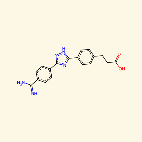 N=C(N)c1ccc(-c2n[nH]c(-c3ccc(CCC(=O)O)cc3)n2)cc1